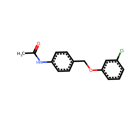 CC(=O)Nc1ccc(COc2cccc(Cl)c2)cc1